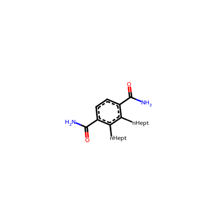 CCCCCCCc1c(C(N)=O)ccc(C(N)=O)c1CCCCCCC